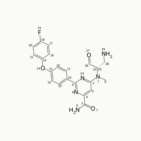 CN(c1cc(C(N)=O)nc(-c2ccc(Oc3ccc(F)cc3)cc2)n1)[C@H](C=O)CN